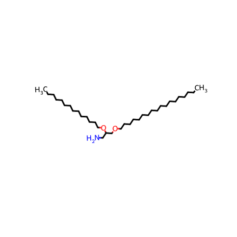 CCCCCCCCCCCCCCCCCCOCC(CN)OCCCCCCCCCCCCCC